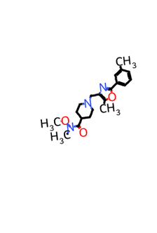 CON(C)C(=O)C1CCN(Cc2nc(-c3cccc(C)c3)oc2C)CC1